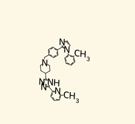 Cc1cccc(-c2nnc(C3CCN(Cc4ccc(-c5nccn5-c5ccccc5C)cc4)CC3)[nH]2)n1